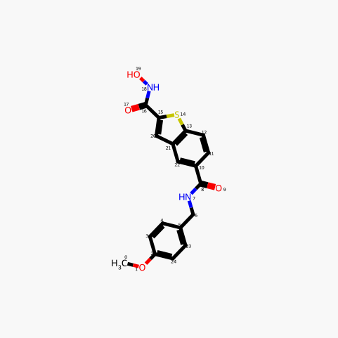 COc1ccc(CNC(=O)c2ccc3sc(C(=O)NO)cc3c2)cc1